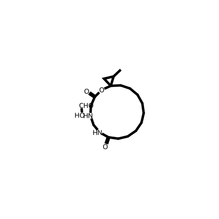 CC1CC12CCCCCCCCCC(=O)NCNCC(=O)O2.O=CO